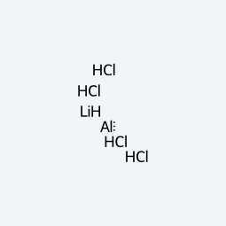 Cl.Cl.Cl.Cl.[Al].[LiH]